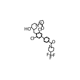 O=C(c1ccc(-c2cc(Cl)c(CC3CN(N4CCCC4=O)CCC3O)c(Cl)c2)cc1)N1CCC(C(F)(F)F)CC1